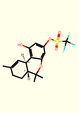 CC1=C[C@H]2c3c(O)cc(OS(=O)(=O)C(F)(F)F)cc3OC(C)(C)[C@@H]2CC1